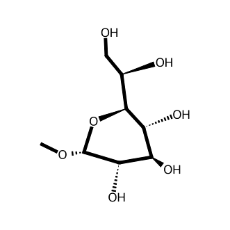 CO[C@@H]1O[C@@H]([C@H](O)CO)[C@H](O)[C@@H](O)[C@@H]1O